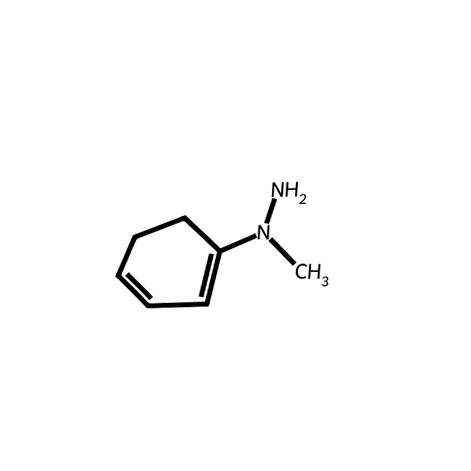 CN(N)C1=CC=CCC1